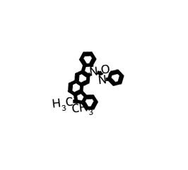 CC1(C)c2ccccc2-c2c1ccc1cc3c4ccccc4n(-c4nc5ccccc5o4)c3cc21